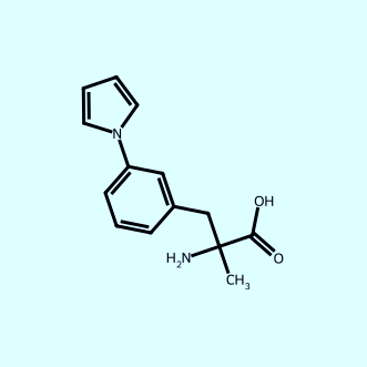 CC(N)(Cc1cccc(-n2cccc2)c1)C(=O)O